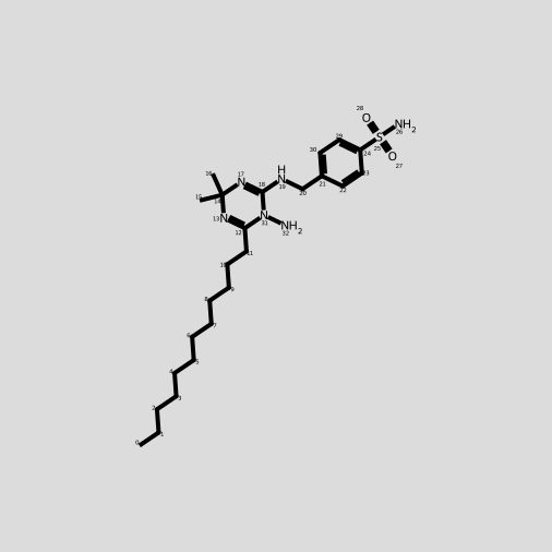 CCCCCCCCCCCCC1=NC(C)(C)N=C(NCc2ccc(S(N)(=O)=O)cc2)N1N